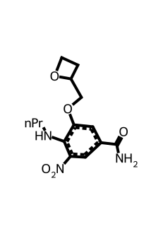 CCCNc1c(OCC2CCO2)cc(C(N)=O)cc1[N+](=O)[O-]